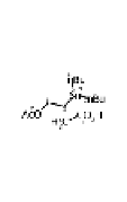 CC(=O)O.CCC[CH2][Sn]([CH2]CCC)[CH2]COC(C)=O